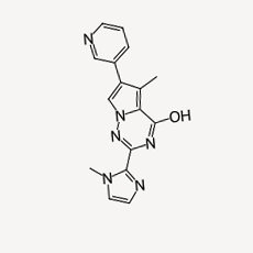 Cc1c(-c2cccnc2)cn2nc(-c3nccn3C)nc(O)c12